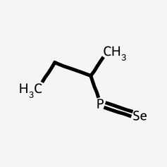 CCC(C)P=[Se]